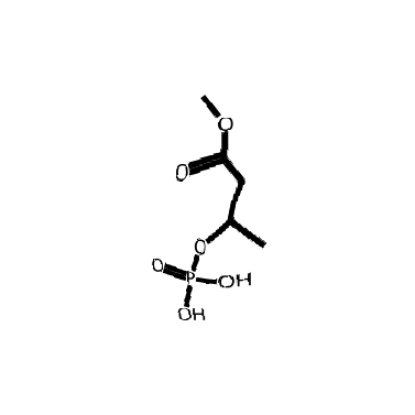 COC(=O)CC(C)OP(=O)(O)O